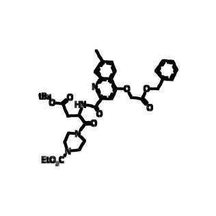 CCOC(=O)N1CCN(C(=O)C(CC(=O)OC(C)(C)C)NC(=O)c2cc(OCC(=O)OCc3ccccc3)c3ccc(C)cc3n2)CC1